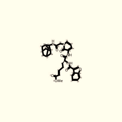 COC(=O)/C=C/CC[C@H](NC(=O)c1coc2ccccc12)C(=O)Nc1cccn(CC(=O)NC2C3CC4CC(C3)CC2C4)c1=O